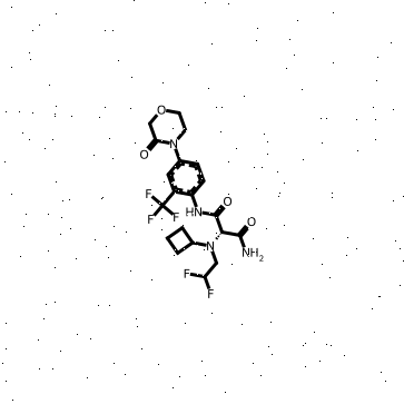 NC(=O)[C@@H](C(=O)Nc1ccc(N2CCOCC2=O)cc1C(F)(F)F)N(CC(F)F)C1CCC1